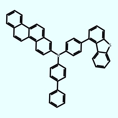 c1ccc(-c2ccc(N(c3ccc(-c4cccc5sc6ccccc6c45)cc3)c3ccc4c(ccc5c6ccccc6ccc45)c3)cc2)cc1